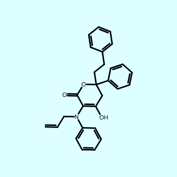 C=CCN(C1=C(O)CC(CCc2ccccc2)(c2ccccc2)OC1=O)c1ccccc1